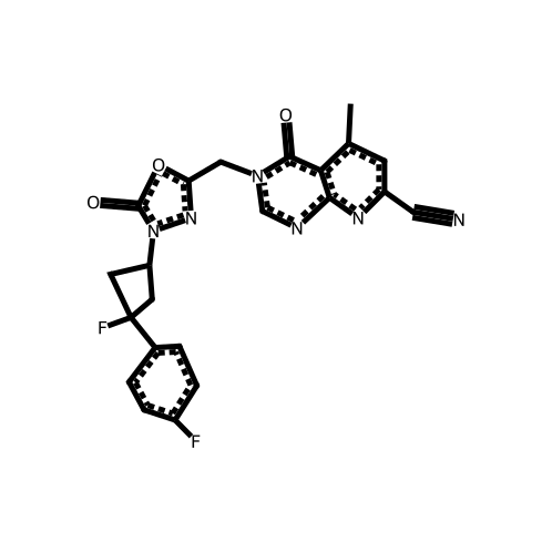 Cc1cc(C#N)nc2ncn(Cc3nn(C4CC(F)(c5ccc(F)cc5)C4)c(=O)o3)c(=O)c12